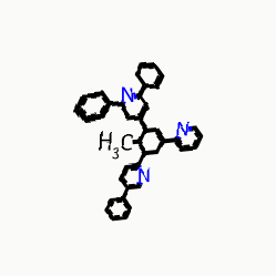 CC1C(C2=CC(C3C=CC=CC3)=NC(c3ccccc3)C2)C=C(c2ccccn2)CC1c1ccc(-c2ccccc2)cn1